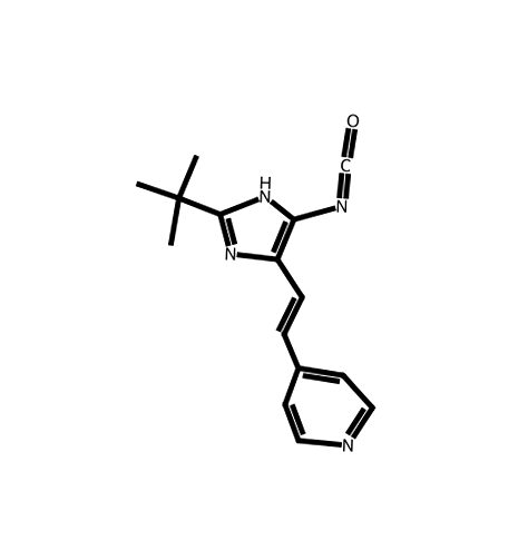 CC(C)(C)c1nc(C=Cc2ccncc2)c(N=C=O)[nH]1